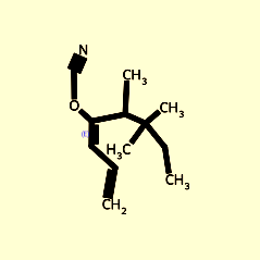 C=C/C=C(/OC#N)C(C)C(C)(C)CC